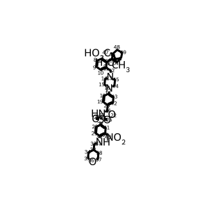 CC1(C)C2C=C(c3ccccc3CN3CCN(c4ccc(C(=O)NS(=O)(=O)c5ccc(NCC6CCOCC6)c([N+](=O)[O-])c5)cc4)CC3)C1(C(=O)O)CC2